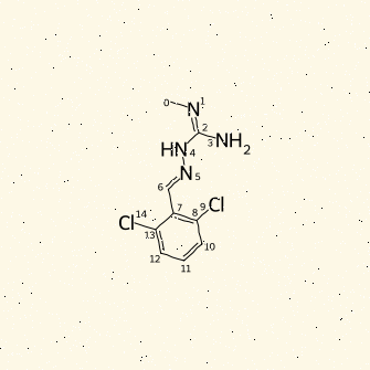 C/N=C(/N)N/N=C/c1c(Cl)cccc1Cl